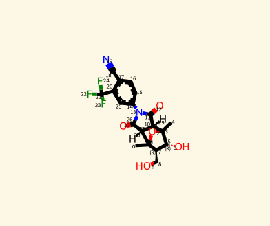 CC12OC(C)([C@H](O)[C@H]1CO)[C@H]1C(=O)N(c3ccc(C#N)c(C(F)(F)F)c3)C(=O)[C@H]12